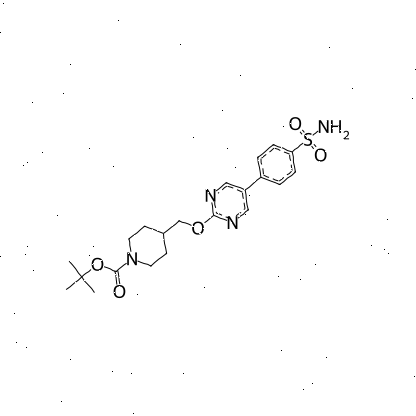 CC(C)(C)OC(=O)N1CCC(COc2ncc(-c3ccc(S(N)(=O)=O)cc3)cn2)CC1